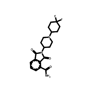 NC(=O)c1cccc2c1C(=O)N(C1CCN(C3CCC(F)(F)CC3)CC1)C2=O